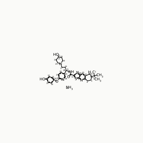 CC(C)(C)[C@H]1CCc2nc3sc(C(=O)N[C@H](CCN4CCC(O)CC4)c4ccc(Oc5ccc(O)cc5)nc4)nc3cc2C1.N